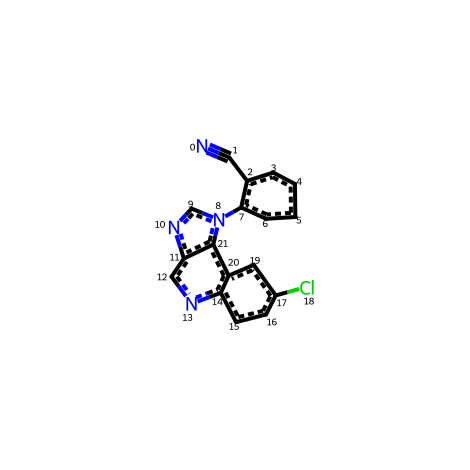 N#Cc1ccccc1-n1cnc2cnc3ccc(Cl)cc3c21